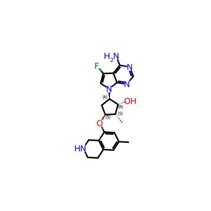 Cc1cc2c(c(O[C@H]3C[C@@H](n4cc(F)c5c(N)ncnc54)[C@H](O)[C@@H]3C)c1)CNCC2